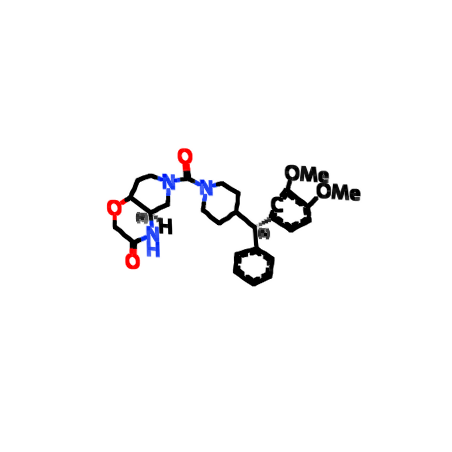 COc1ccc([C@H](c2ccccc2)C2CCN(C(=O)N3CCC4OCC(=O)N[C@@H]4C3)CC2)cc1OC